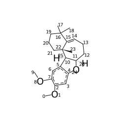 COc1cc2c(cc1OC)[C@@H]1[C@@H](CCC=C3C(C)(C)CCC[C@]31C)O2